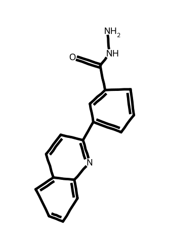 NNC(=O)c1cccc(-c2ccc3ccccc3n2)c1